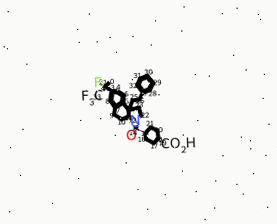 CC(F)(c1ccc2c(c1)CCC1N(C(=O)[C@H]3CC[C@H](C(=O)O)CC3)CCC21CCc1ccccc1)C(F)(F)F